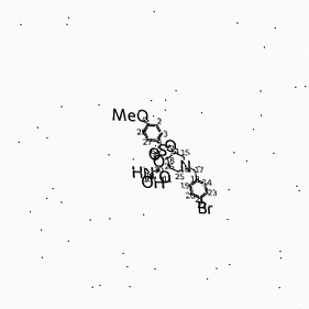 COc1ccc(S(=O)(=O)C2(OC(=O)NO)CCN(Cc3ccc(Br)cc3)CC2)cc1